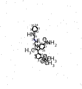 Cc1c(-c2cccc(S(=O)(=O)N(C)C)c2)c2ccc(C(N)=O)cc2n1C/C(F)=C/CNc1ccccc1